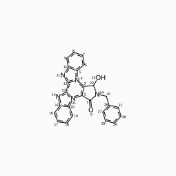 O=C1c2c(n3c4ccccc4nc3c3nc4ccccc4n23)C(O)N1Cc1ccccc1